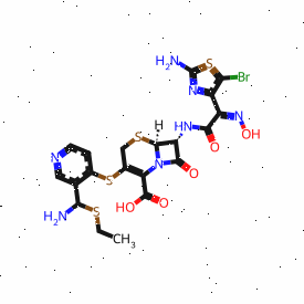 CCSC(N)c1cnccc1SC1=C(C(=O)O)N2C(=O)[C@@H](NC(=O)/C(=N\O)c3nc(N)sc3Br)[C@@H]2SC1